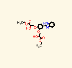 CCOC(=O)C(O)COc1ccc(-c2nc3ccccc3[nH]2)cc1OCC(O)C(=O)OCC